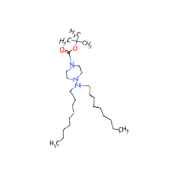 CCCCCCCCCN(CCCCCCCCC)N1CCN(C(=O)OC(C)(C)C)CC1